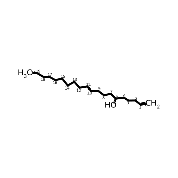 C=CCCCC(O)CCCCCCCCCCCCCC